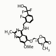 COc1cc2nc(C)nc(NCc3cccc(C(F)(F)CO)c3F)c2cc1OC[C@@H]1CN(C)C(=O)CO1